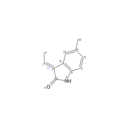 C/C=C1/C(=O)Nc2ccc(C)cc21